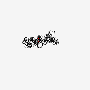 C=C(OC)C(=O)Nc1cc(OC)c(OC)cc1C(=O)O[C@H]1C[C@H](O[C@@H]2C(=O)C(NC(=O)OC)=C3/C(=C\CSSSC)[C@]2(O)C#C/C=C/C#C[C@H]3O[C@@H]2O[C@H](C)[C@@H](NO[C@H]3C[C@H](O)[C@H](SC)[C@@H](C)O3)[C@H](O)[C@H]2O[C@H]2C[C@H](OC)[C@@H](NC(C)C)CO2)O[C@@H](C)[C@H]1O